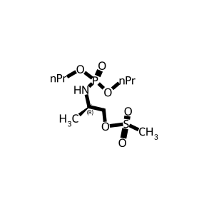 CCCOP(=O)(N[C@H](C)COS(C)(=O)=O)OCCC